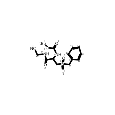 CC(C)(C)OC(=O)NC(CS(=O)(=O)Cc1ccccc1)C(=O)NCC#N